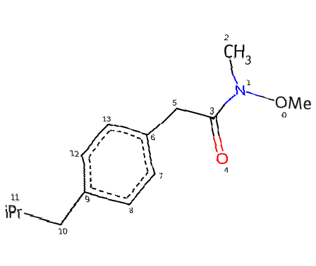 CON(C)C(=O)Cc1ccc(CC(C)C)cc1